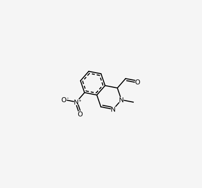 CN1N=Cc2c(cccc2[N+](=O)[O-])C1C=O